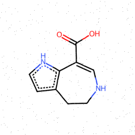 O=C(O)C1=CNCCc2cc[nH]c21